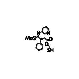 CSC(=Nc1cccnc1)C(=CC(=O)OCS)c1ccccc1